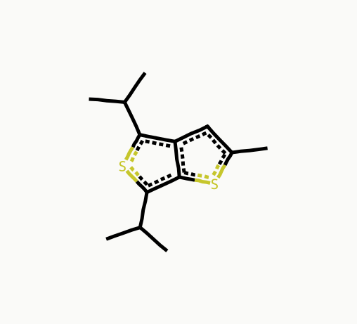 Cc1cc2c(C(C)C)sc(C(C)C)c2s1